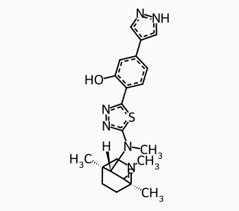 CN(c1nnc(-c2ccc(-c3cn[nH]c3)cc2O)s1)[C@@H]1C(F)[C@]2(C)CC[C@@]1(C)CN2C